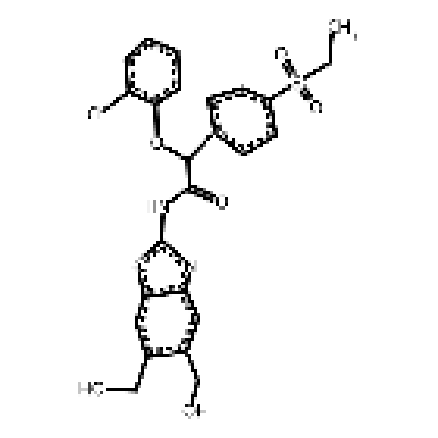 CCS(=O)(=O)c1ccc(C(Oc2ccccc2Cl)C(=O)Nc2nc3cc(CO)c(CO)cc3s2)cc1